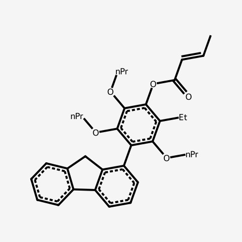 CC=CC(=O)Oc1c(CC)c(OCCC)c(-c2cccc3c2Cc2ccccc2-3)c(OCCC)c1OCCC